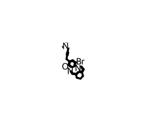 CN(C)CC#CCc1cc(Br)c2n3ccc4c3c(cnc-2c1=O)CCC4